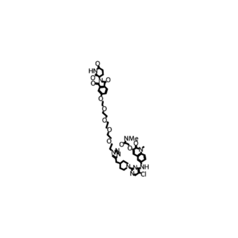 CNC(=O)COc1cc2cc(Nc3nc(N4CCC(Cc5cn(CCOCCOCCOCCOCCOc6ccc7c(c6)C(=O)N(C6CCC(=O)NC6=O)C7=O)nn5)CC4)ncc3Cl)ccc2n(C)c1=O